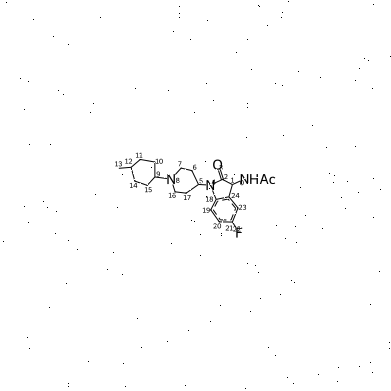 CC(=O)NC1C(=O)N(C2CCN(C3CCC(C)CC3)CC2)c2ccc(F)cc21